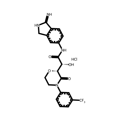 Cl.N=C1NCc2cc(NC(=O)[C@H](O)[C@H]3OCCN(c4cccc(C(F)(F)F)c4)C3=O)ccc21